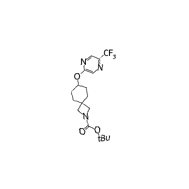 CC(C)(C)OC(=O)N1CC2(CCC(Oc3cnc(C(F)(F)F)cn3)CC2)C1